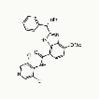 CCC[C@@H](c1ccccc1)c1nc2c(OC)ccc(C(=O)Nc3c(Cl)cncc3Cl)c2[nH]1